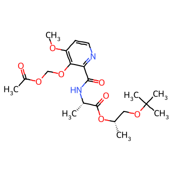 COc1ccnc(C(=O)N[C@@H](C)C(=O)O[C@@H](C)COC(C)(C)C)c1OCOC(C)=O